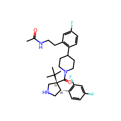 CC(=O)NCCc1cc(F)ccc1C1CCN(C(=O)[C@@]2(C(C)(C)C)CNC[C@H]2c2ccc(F)cc2F)CC1